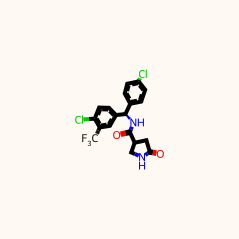 O=C1CC(C(=O)N[C@H](c2ccc(Cl)cc2)c2ccc(Cl)c(C(F)(F)F)c2)CN1